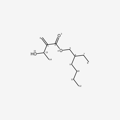 C=C(C(=O)OCC(CC)CCCC)C(C)O